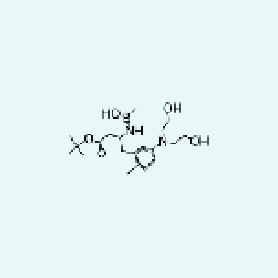 CB(O)N[C@H](CC(=O)OC(C)(C)C)Cc1cc(N(CCO)CCO)ccc1C